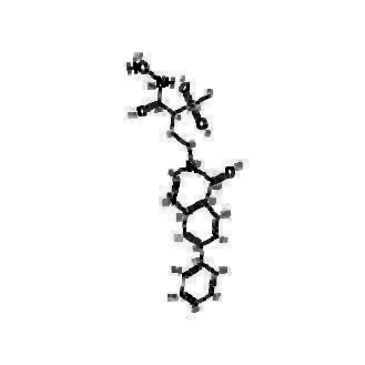 CS(=O)(=O)C(CCn1cnc2cc(-c3ccccc3)ccc2c1=O)C(=O)NO